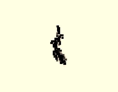 CCCCOC(=O)C(C)CC(CC)C(=O)OCCC(F)(F)C(F)(F)C(F)(F)C(F)(F)C(F)(F)C(F)(F)F